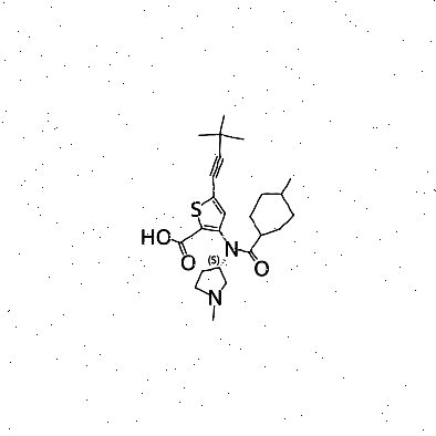 CC1CCC(C(=O)N(c2cc(C#CC(C)(C)C)sc2C(=O)O)[C@H]2CCN(C)C2)CC1